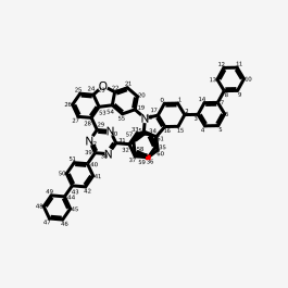 C1=CC(c2cccc(-c3ccccc3)c2)Cc2c1n(-c1ccc3oc4cccc(-c5nc(-c6ccccc6)nc(-c6ccc(-c7ccccc7)cc6)n5)c4c3c1)c1ccccc21